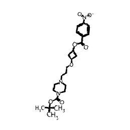 CC(C)(C)OC(=O)N1CCN(CCCOC2CC(OC(=O)c3ccc([N+](=O)[O-])cc3)C2)CC1